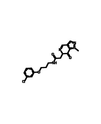 Cn1ncc2c1C(=O)C(CC(=O)NCCCOc1cccc(Cl)c1)N=C2